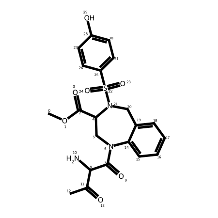 COC(=O)C1CN(C(=O)C(N)C(C)=O)c2ccccc2CN1S(=O)(=O)c1ccc(O)cc1